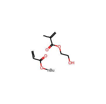 C=C(C)C(=O)OCCO.C=CC(=O)OCCCC